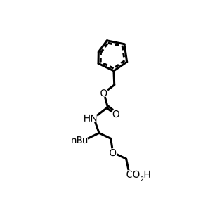 CCCCC(COCC(=O)O)NC(=O)OCc1ccccc1